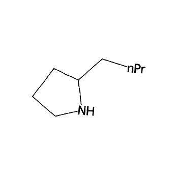 [CH2]CCCC1CCCN1